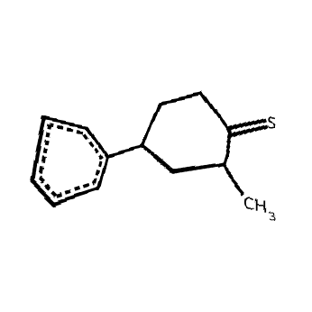 CC1CC(c2ccccc2)CCC1=S